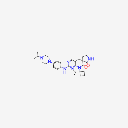 CC(C)N1CCN(c2ccc(Nc3ncc4c(n3)N(C3(C(C)C)CCC3)C(=O)[C@]3(CCNC3=O)C4)cc2)CC1